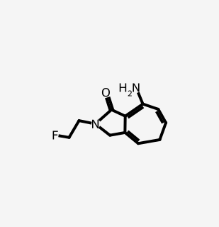 NC1=C2C(=O)N(CCF)CC2=CCC=C1